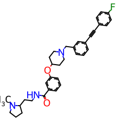 CN1CCCC1CCNC(=O)c1cccc(OC2CCN(Cc3cccc(C#Cc4ccc(F)cc4)c3)CC2)c1